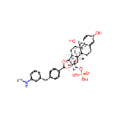 CC(C)Nc1cccc(Cc2ccc([C@@H]3O[C@@H]4C[C@H]5[C@@H]6CCC7=CC(O)C=C[C@]7(C)[C@H]6[C@@H](O)C[C@]5(C)[C@]4(C(=O)COP(=O)(O)O)O3)cc2)c1